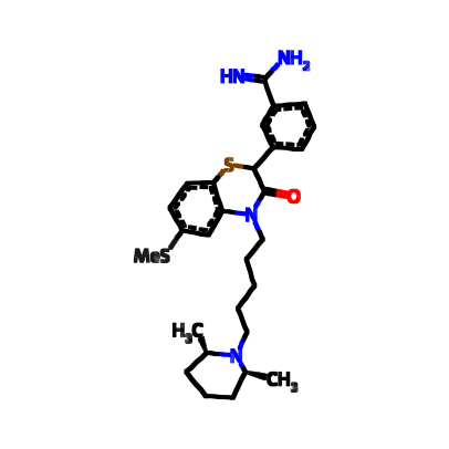 CSc1ccc2c(c1)N(CCCCCN1[C@H](C)CCC[C@@H]1C)C(=O)C(c1cccc(C(=N)N)c1)S2